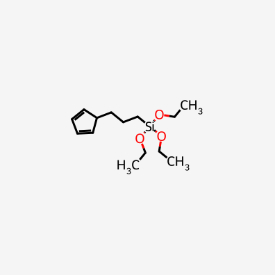 CCO[Si](CCCC1C=CC=C1)(OCC)OCC